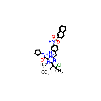 C=C(Cl)/C(CC(=O)O)=C(\N=C(/N)Cc1ccc(NS(=O)(=O)c2ccc3ccccc3c2)cc1)N(C)CC(=O)NC1CCCC1